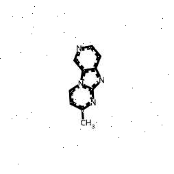 Cc1ccn2c(n1)nc1ccncc12